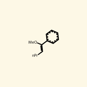 [CH2]CCC=C(OC)c1ccccc1